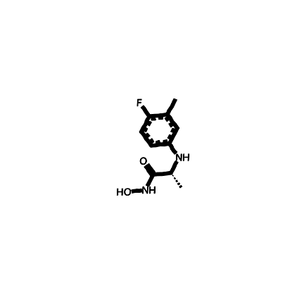 Cc1cc(N[C@H](C)C(=O)NO)ccc1F